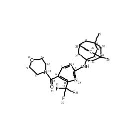 CC12CCC3(Nc4ncc(C(=O)N5CCOCC5)c(C(F)(F)F)n4)CC(C1)CC(C)(C2)C3